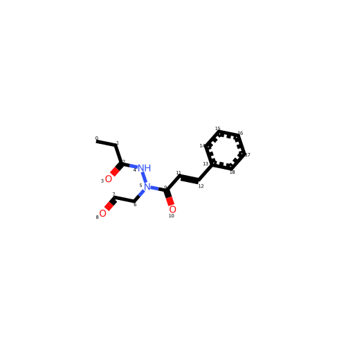 CCC(=O)NN(C[C]=O)C(=O)C=Cc1ccccc1